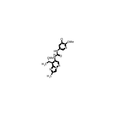 COc1ncc(NC(=O)Nc2cnn3cc(C)nc3c2[C@H](C)OC)cc1Cl